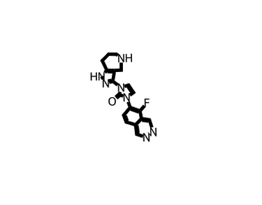 O=c1n(-c2ccc3cnncc3c2F)ccn1-c1n[nH]c2c1CNCCC2